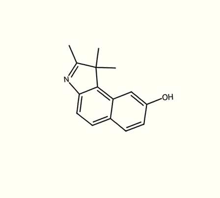 CC1=Nc2ccc3ccc(O)cc3c2C1(C)C